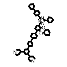 C1=CC2Oc3c(-c4ccc(-c5ccc(-c6cc(-c7ccncc7)cc(-c7ccncc7)c6)cc5)cc4)ccc(-c4nc(-c5ccccc5)nc(-c5ccc(-c6ccccc6)cc5)n4)c3OC2C=C1